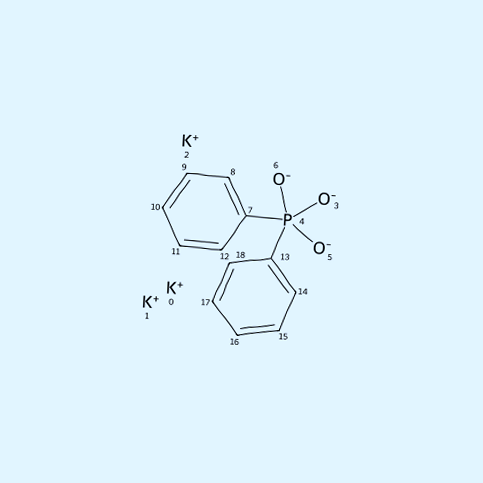 [K+].[K+].[K+].[O-]P([O-])([O-])(c1ccccc1)c1ccccc1